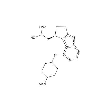 CNC1CCC(Oc2ncnc3sc4c(c23)[C@@H](CC(C#N)OC)CC4)CC1